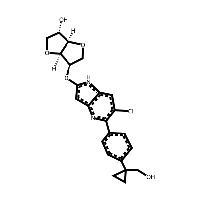 OCC1(c2ccc(-c3nc4cc(O[C@@H]5CO[C@H]6[C@@H]5OC[C@@H]6O)[nH]c4cc3Cl)cc2)CC1